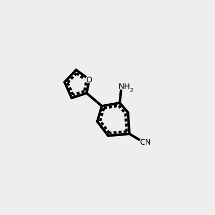 N#Cc1ccc(-c2ccco2)c(N)c1